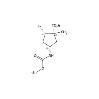 CC[C@H]1C[C@@H](NC(=O)OC(C)(C)C)C[C@@]1(C)C(=O)O